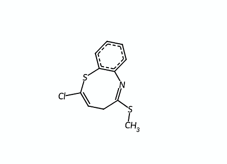 CS/C1=N/c2ccccc2S/C(Cl)=C\C1